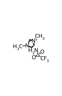 Cn1cc[n+](C)c1.NS(=O)(=O)C(F)(F)F